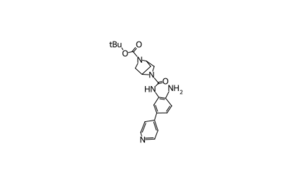 CC(C)(C)OC(=O)N1CC2CC1CN2C(=O)Nc1cc(-c2ccncc2)ccc1N